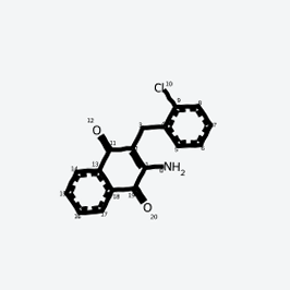 NC1=C(Cc2ccccc2Cl)C(=O)c2ccccc2C1=O